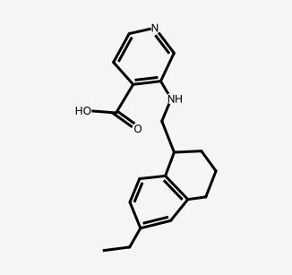 CCc1ccc2c(c1)CCCC2CNc1cnccc1C(=O)O